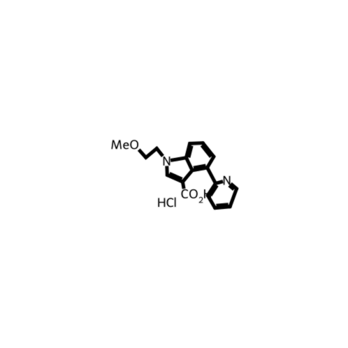 COCCn1cc(C(=O)O)c2c(-c3ccccn3)cccc21.Cl